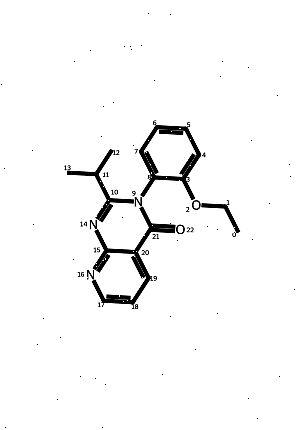 CCOc1ccccc1-n1c(C(C)C)nc2ncccc2c1=O